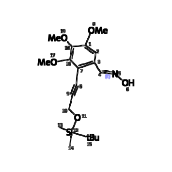 COc1cc(/C=N/O)c(C#CCO[Si](C)(C)C(C)(C)C)c(OC)c1OC